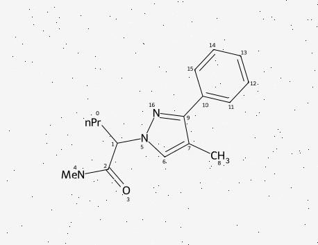 CCCC(C(=O)NC)n1cc(C)c(-c2ccccc2)n1